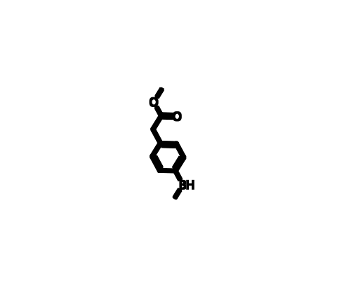 CBc1ccc(CC(=O)OC)cc1